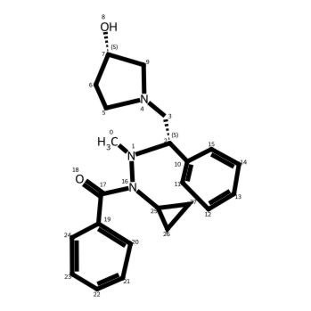 CN([C@H](CN1CC[C@H](O)C1)c1ccccc1)N(C(=O)c1ccccc1)C1CC1